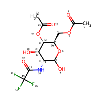 CC(=O)OC[C@H]1OC(O)[C@H](NC(=O)C(F)(F)F)[C@@H](O)[C@@H]1OC(C)=O